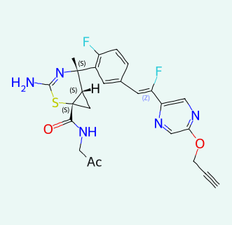 C#CCOc1cnc(/C(F)=C/c2ccc(F)c([C@@]3(C)N=C(N)S[C@@]4(C(=O)NCC(C)=O)C[C@H]43)c2)cn1